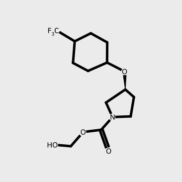 O=C(OCO)N1CC[C@H](OC2CCC(C(F)(F)F)CC2)C1